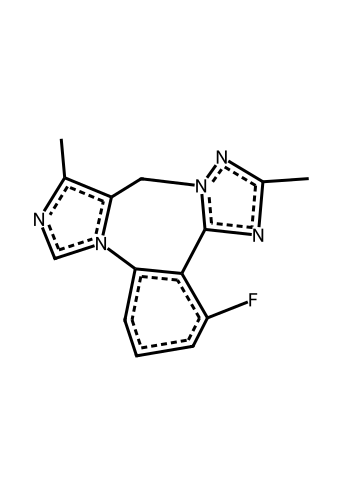 Cc1nc2n(n1)Cc1c(C)ncn1-c1cccc(F)c1-2